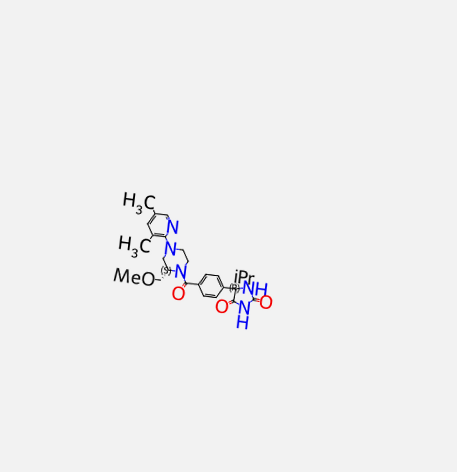 COC[C@@H]1CN(c2ncc(C)cc2C)CCN1C(=O)c1ccc([C@@]2(C(C)C)NC(=O)NC2=O)cc1